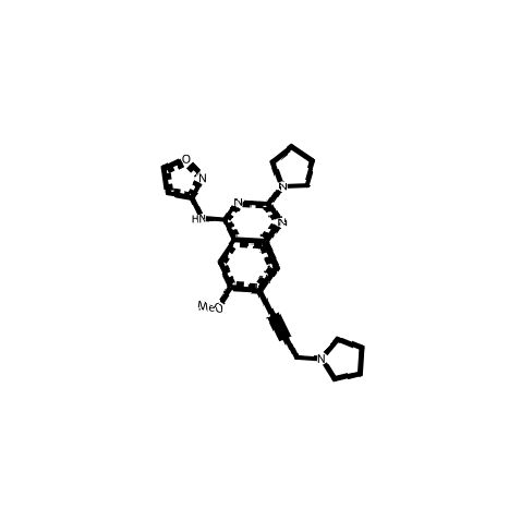 COc1cc2c(Nc3ccon3)nc(N3CCCC3)nc2cc1C#CCN1CCCC1